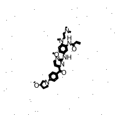 C=CC(=O)Nc1cc(Nc2nccc(C(=O)c3ccc(N4CC[C@@H](OC)C4)cc3)n2)c(OC)cc1N(C)CCN(C)C